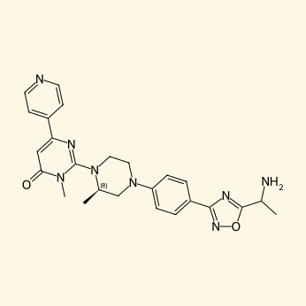 CC(N)c1nc(-c2ccc(N3CCN(c4nc(-c5ccncc5)cc(=O)n4C)[C@H](C)C3)cc2)no1